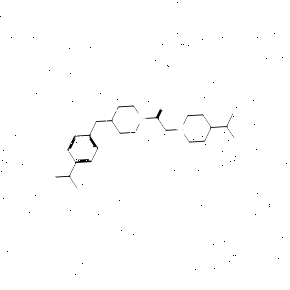 CC(C)c1ccc(CC2CCN(C(=O)CN3CCC(C(C)C)CC3)CC2)cc1